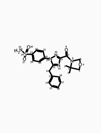 CC1(C)COCN1C(=O)c1nc(Cc2ccccc2)n(-c2ccc(S(N)(=O)=O)cc2)n1